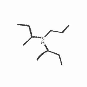 CCC[SiH](C(C)CC)C(C)CC